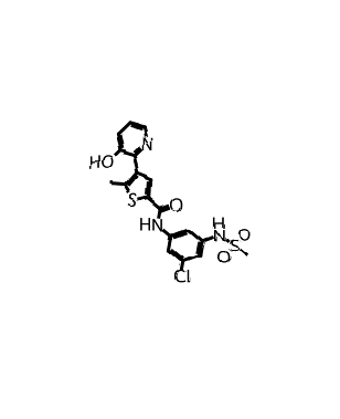 Cc1sc(C(=O)Nc2cc(Cl)cc(NS(C)(=O)=O)c2)cc1-c1ncccc1O